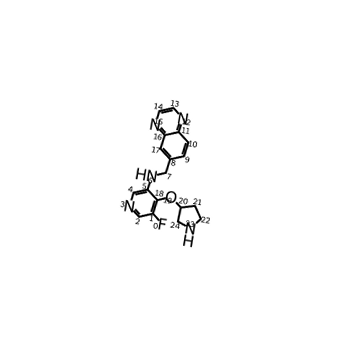 Fc1cncc(NCc2ccc3nccnc3c2)c1OC1CCNC1